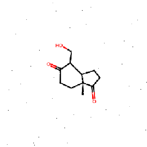 C[C@@]12CCC(=O)C(CO)C1CCC2=O